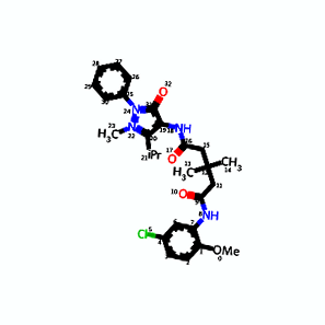 COc1ccc(Cl)cc1NC(=O)CC(C)(C)CC(=O)Nc1c(C(C)C)n(C)n(-c2ccccc2)c1=O